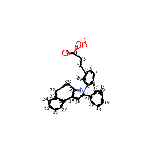 O=C(O)CCc1cccc(-n2c(-c3ccccc3)cc3c2CCc2ccccc2-3)c1